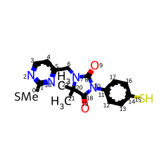 CSc1nccc(CN2C(=O)N(c3ccc(S)cc3)C(=O)C2(C)C)n1